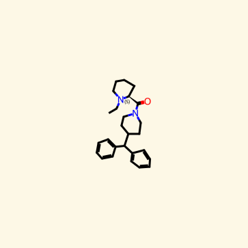 CCN1CCCC[C@H]1C(=O)N1CCC(C(c2ccccc2)c2ccccc2)CC1